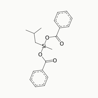 CC(C)C[Si](C)(OC(=O)c1ccccc1)OC(=O)c1ccccc1